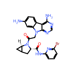 Nc1ccc2c3c(N)ncnc3n(CC(=O)N3[C@@H]4CC4C[C@H]3C(=O)Nc3cccc(Br)n3)c2c1